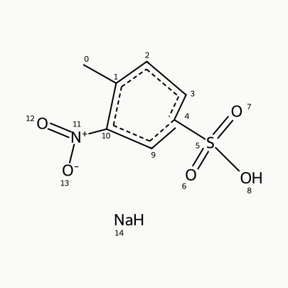 Cc1ccc(S(=O)(=O)O)cc1[N+](=O)[O-].[NaH]